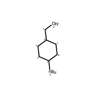 [CH2]CCCC1CCC(CO)CC1